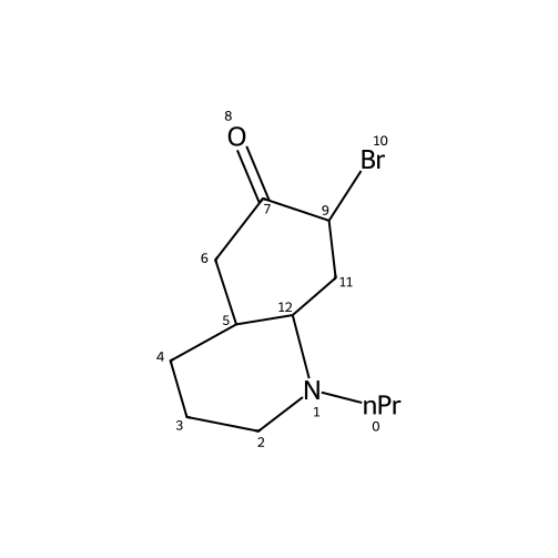 CCCN1CCCC2CC(=O)C(Br)CC21